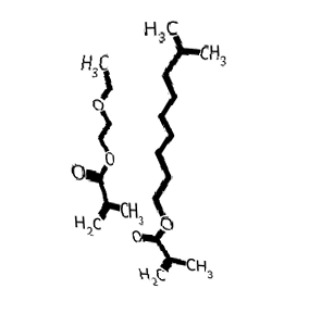 C=C(C)C(=O)OCCCCCCCC(C)C.C=C(C)C(=O)OCCOCC